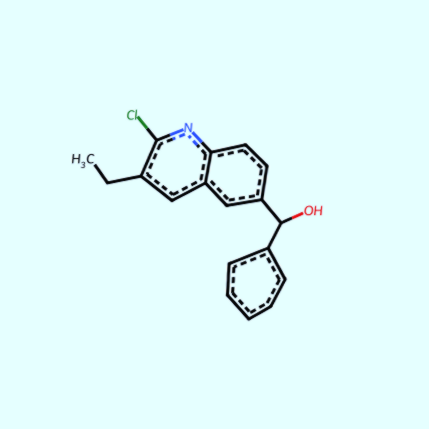 CCc1cc2cc(C(O)c3ccccc3)ccc2nc1Cl